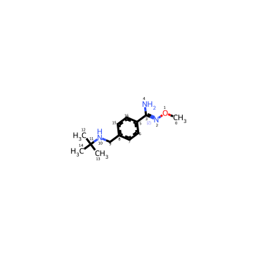 CO/N=C(\N)c1ccc(CNC(C)(C)C)cc1